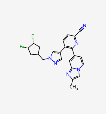 Cc1cn2ccc(-c3nc(C#N)ccc3-c3cnn(CC4C[C@@H](F)[C@H](F)C4)c3)cc2n1